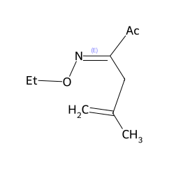 C=C(C)C/C(=N\OCC)C(C)=O